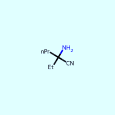 CCCC(N)(C#N)CC